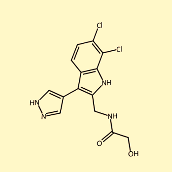 O=C(CO)NCc1[nH]c2c(Cl)c(Cl)ccc2c1-c1cn[nH]c1